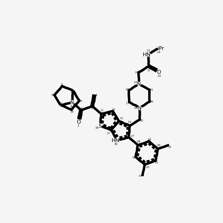 C=C(C(=O)N1C2CCC1CC2)c1cc2c(CN3CCN(CC(=O)NC(C)C)CC3)c(-c3cc(C)cc(C)c3)[nH]c2s1